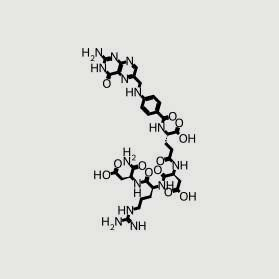 N=C(N)NCCC[C@H](NC(=O)[C@H](CC(=O)O)NC(=O)CC[C@H](NC(=O)c1ccc(NCc2cnc3nc(N)[nH]c(=O)c3n2)cc1)C(=O)O)C(=O)N[C@@H](CC(=O)O)C(N)=O